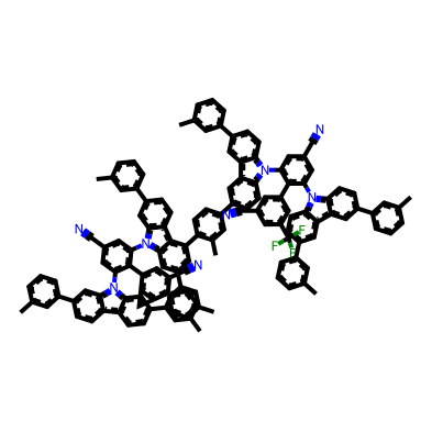 Cc1cccc(-c2ccc3c(c2)c2cc(-c4cccc(C)c4)ccc2n3-c2cc(C#N)cc(-n3c4ccc(-c5cccc(C)c5)cc4c4cc(-c5ccc(-c6cc(-c7cccc(C)c7)cc7c6c6ccc(-c8cccc(C)c8)cc6n7-c6cc(C#N)cc(-n7c8cc(-c9cccc(C)c9)ccc8c8ccc(-c9cccc(C)c9)cc87)c6-c6cc(C#N)cc7c6C7)c(C)c5)ccc43)c2-c2cc(C#N)cc(C(F)(F)F)c2)c1